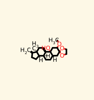 C=C1CC[C@H]2[C@@H]3CC[C@H]4CC5(OCCO5)C(OC)C[C@@]4(O)C3=CC[C@]12C